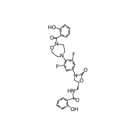 O=C(NC[C@H]1CN(c2cc(F)c(N3CCON(C(=O)c4ccccc4O)CC3)c(F)c2)C(=O)O1)c1ccccc1O